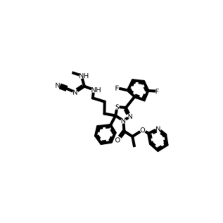 CNC(=NC#N)NCCCC1(c2ccccc2)SC(c2cc(F)ccc2F)=NN1C(=O)C(C)Oc1ccccn1